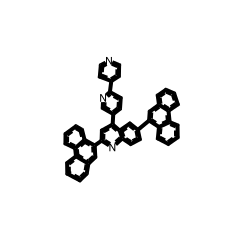 c1ccc2c(c1)cc(-c1ccc3nc(-c4cc5ccccc5c5ccccc45)cc(-c4ccc(-c5ccncc5)nc4)c3c1)c1ccccc12